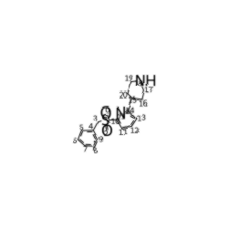 O=S(=O)(Cc1ccccc1)c1cccc(C2CCNCC2)n1